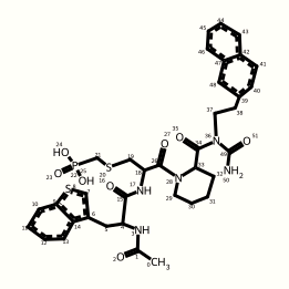 CC(=O)NC(Cc1csc2ccccc12)C(=O)NC(CSCP(=O)(O)O)C(=O)N1CCCCC1C(=O)N(CCc1ccc2ccccc2c1)C(N)=O